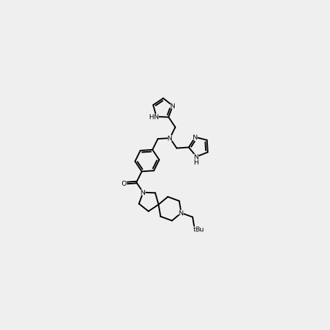 CC(C)(C)CN1CCC2(CC1)CCN(C(=O)c1ccc(CN(Cc3ncc[nH]3)Cc3ncc[nH]3)cc1)C2